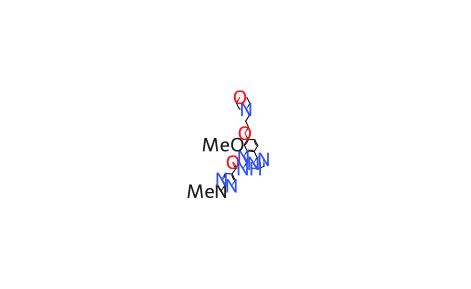 CNc1ncc(C(=O)NC2=Nc3c(ccc(OCCCN4CCOCC4)c3OC)C3=NCCN23)cn1